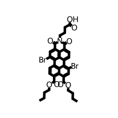 CCCCOC(=O)c1ccc2c3c(Br)cc4c5c(ccc(c6c(Br)cc(C(=O)OCCCC)c1c26)c53)C(=O)N(CCCC(=O)O)C4=O